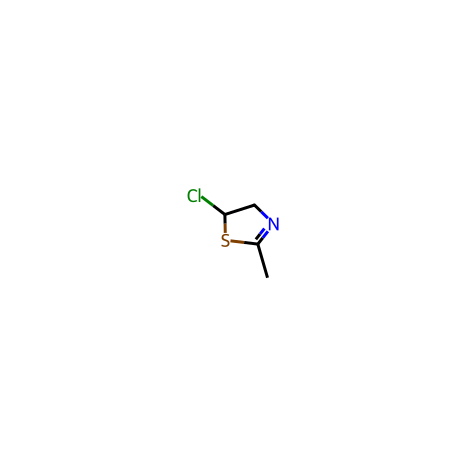 CC1=NCC(Cl)S1